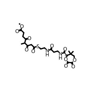 COC(=O)CCC(=O)C(C)C(=O)CC(=O)SCCNC(=O)CCNC(=O)[C@@H]1OC(=O)C(=O)OCC1(C)C